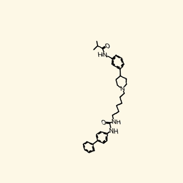 CC(C)C(=O)Nc1cccc(C2CCN(CCCCCCNC(=O)Nc3ccc(-c4ccccc4)cc3)CC2)c1